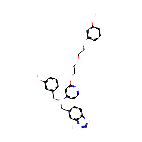 COc1cccc(CN(Cc2ccc3nc[nH]c3c2)c2ccnc(OCCOCCOc3cccc(OC)c3)c2)c1